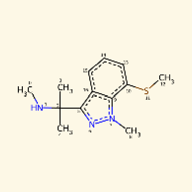 CNC(C)(C)c1nn(C)c2c(SC)cccc12